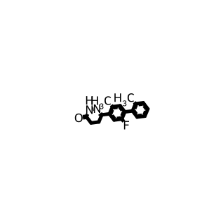 Cc1cc(-c2ccccc2C)c(F)cc1C1=NNC(=O)CC1